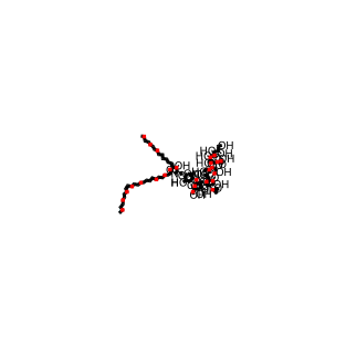 CCCCCCCC/C=C\CCCCCCCCCCCCCC(=O)N[C@@H](CO[C@@H]1OC(CO)[C@@H](O[C@@H]2OC(CO)[C@H](O)[C@H](O[C@@H]3OC(CO)[C@@H](O[C@@H]4OC(CO)[C@H](O)[C@H](O[C@]5(C(=O)O)CC(O)[C@@H](O)C([C@H](O)[C@H](O)CO)O5)C4O)[C@H](O)C3NC(C)=O)C2O)[C@H](O)C1O)[C@H](O)/C=C/CCCCCCCCCCCCC